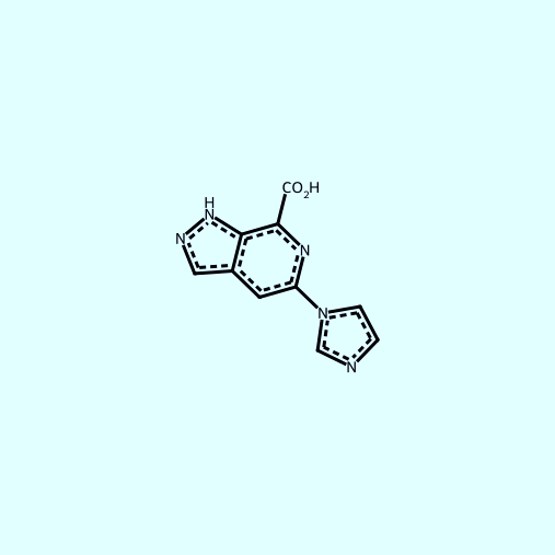 O=C(O)c1nc(-n2ccnc2)cc2cn[nH]c12